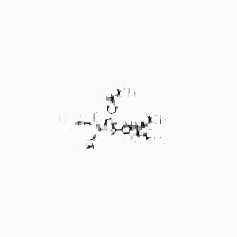 CC1C[C@@H](c2nc3c(-c4ccc(N(NC(=O)OC(C)(C)C)C(=O)OC(C)(C)C)nc4)cnn3c(N(COCC[Si](C)(C)C)COCC[Si](C)(C)C)c2Br)C[C@H](C)N1C(=O)OC(C)(C)C